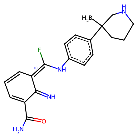 BC1(c2ccc(N/C(F)=C3/C=CC=C(C(N)=O)C3=N)cc2)CCCNC1